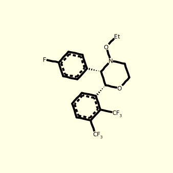 CCON1CCO[C@H](c2cccc(C(F)(F)F)c2C(F)(F)F)[C@@H]1c1ccc(F)cc1